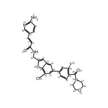 Nc1ccc(/C=C/C(=O)NCc2cc3cc(-c4ccc(C(=O)N5CCOCC5)c(F)c4)cc(Cl)c3o2)cn1